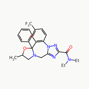 CCN(CC)C(=O)c1nc2n(n1)-c1ccc(C(F)(F)F)cc1C1(c3ccccc3)OC(C)CN1C2